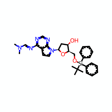 CN(C)/C=N/c1ncnc2c1ccn2[C@H]1C[C@@H](O)[C@@H](CO[Si](c2ccccc2)(c2ccccc2)C(C)(C)C)O1